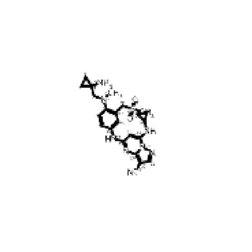 CN(CC1(N)CC1)c1ccc(Nc2cc(NC3CC3)n3ncc(C#N)c3n2)cc1CS(C)(=O)=O